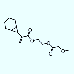 C=C(C(=O)OCCOC(=O)COC)C1C2CCCCC21